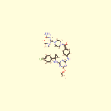 NC(=O)/N=C(\N1CCC1)N1CCN(C(=O)c2ccc(Nc3nc(NC4(c5ccc(Cl)cc5)CC4)nc(OCC(F)(F)F)n3)cc2)CC1